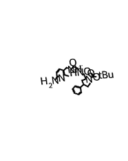 Cc1nc(N)ccc1CNC(=O)[C@H](C)NC(=O)C1CC(c2ccccc2)CCN1C(=O)OC(C)(C)C